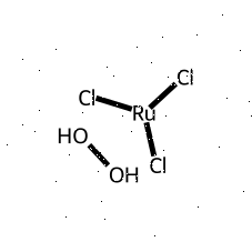 OO.[Cl][Ru]([Cl])[Cl]